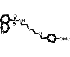 COc1ccc(COCCNCCNS(=O)(=O)c2cccc3cnccc23)cc1